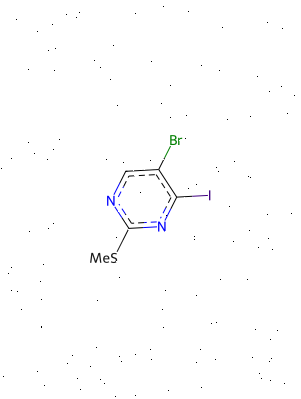 CSc1ncc(Br)c(I)n1